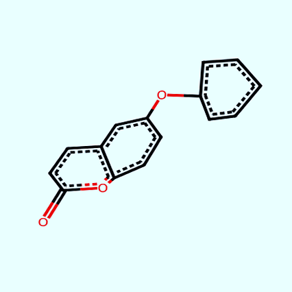 O=c1ccc2cc(Oc3ccccc3)ccc2o1